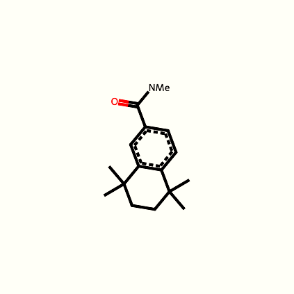 [CH2-][NH2+]C(=O)c1ccc2c(c1)C(C)(C)CCC2(C)C